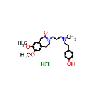 COc1cc2c(cc1OC)CC(=O)N(CCCN(C)CCc1ccc(O)cc1)CC2.Cl